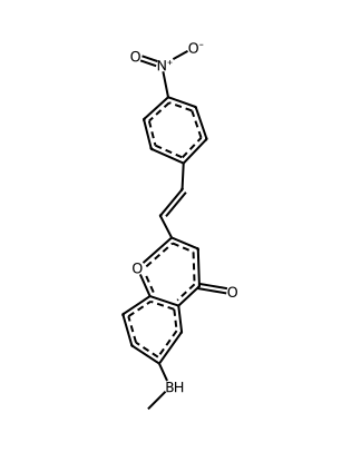 CBc1ccc2oc(/C=C/c3ccc([N+](=O)[O-])cc3)cc(=O)c2c1